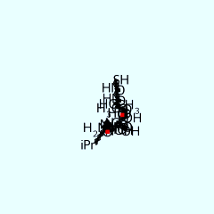 CC(C)CCCCC=CC(=O)C1(N)N=CN=C2C1=NCN2[C@@H]1O[C@H](COP(=O)(O)OP(=O)(O)OCC(C)(C)C(O)C(=O)NCCC(=O)NCCS)[C@@H](OP(=O)(O)O)[C@H]1O